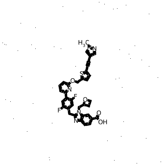 Cn1cc(C#Cc2ccc(COc3cccc(-c4cc(F)c(Cc5nc6ccc(C(=O)O)cc6n5CC5CCO5)cc4F)n3)s2)cn1